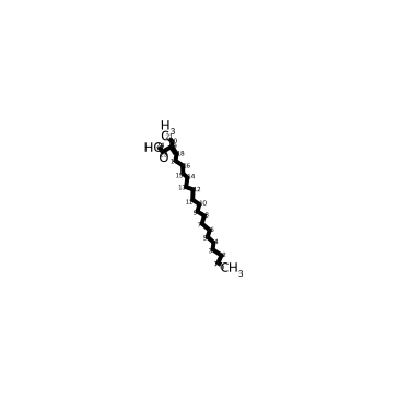 CCCCCCCCCCCCCCCCCCC=C(CC)C(=O)O